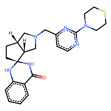 O=C1N[C@]2(CC[C@@H]3CN(Cc4ccnc(N5CCSCC5)n4)C[C@@H]32)Nc2ccccc21